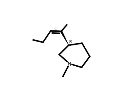 CC/C=C(/C)[C@H]1CCCN(C)C1